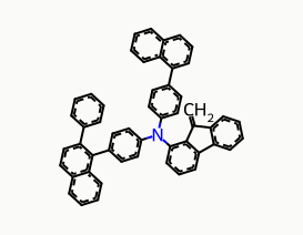 C=C1c2ccccc2-c2cccc(N(c3ccc(-c4cccc5ccccc45)cc3)c3ccc(-c4c(-c5ccccc5)ccc5ccccc45)cc3)c21